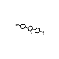 COc1ccc(-c2ccc(-c3ccc(O)cc3)cc2F)cc1